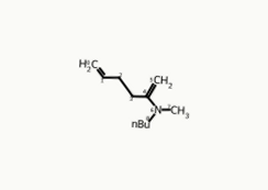 C=CCCC(=C)N(C)CCCC